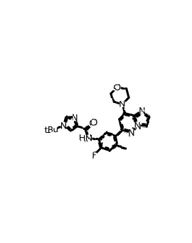 Cc1cc(F)c(NC(=O)c2cn(C(C)(C)C)cn2)cc1-c1cc(N2CCOCC2)c2nccn2n1